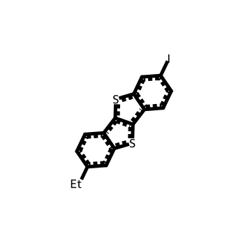 CCc1ccc2c(c1)sc1c3ccc(I)cc3sc21